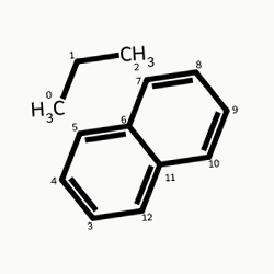 CCC.c1ccc2ccccc2c1